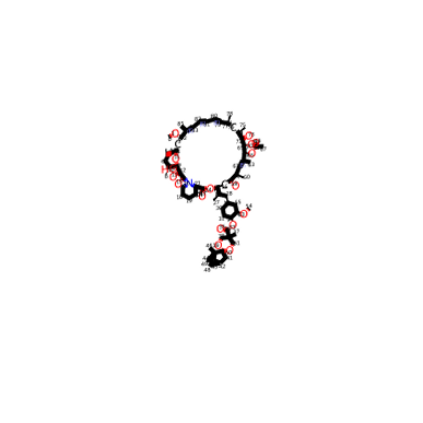 CO[C@H]1C[C@@H]2CC[C@@H](C)[C@@](O)(O2)C(=O)C(=O)N2CCCC[C@H]2C(=O)O[C@H]([C@H](C)C[C@@H]2CC[C@@H](OC(=O)C3(C)COC4(CC5CCC4(C)C5(C)C)OC3)[C@H](OC)C2)CC(=O)[C@H](C)/C=C(\C)[C@@H](OC(C)=O)[C@@H](OC)C(=O)[C@H](C)C[C@H](C)/C=C/C=C/C=C/1C